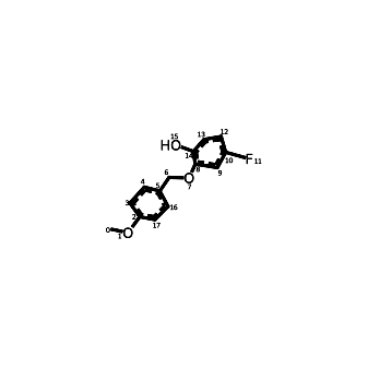 COc1ccc(COc2cc(F)ccc2O)cc1